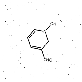 O=CC1=CC=CN(O)C1